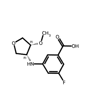 CO[C@H]1COC[C@H]1Nc1cc(F)cc(C(=O)O)c1